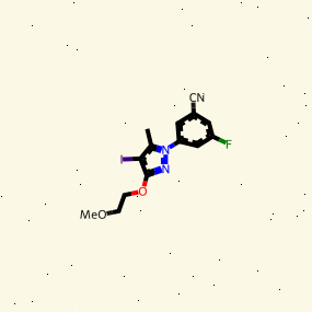 COCCOc1nn(-c2cc(F)cc(C#N)c2)c(C)c1I